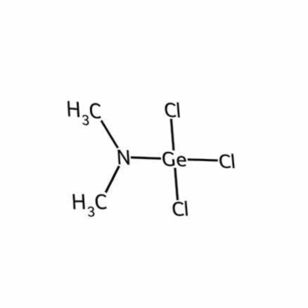 C[N](C)[Ge]([Cl])([Cl])[Cl]